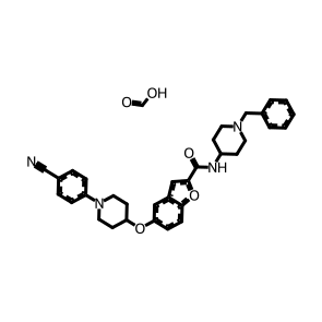 N#Cc1ccc(N2CCC(Oc3ccc4oc(C(=O)NC5CCN(Cc6ccccc6)CC5)cc4c3)CC2)cc1.O=CO